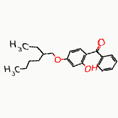 CCCCC(CC)COc1ccc(C(=O)c2ccccc2)c(O)c1